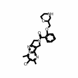 Cc1nc2c3c(nn2c(C)c1Cl)CN(C(=O)c1ccccc1OCC1CNCCO1)C3